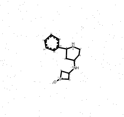 [O-][S+]1CC(NC2CCNC(c3ccccc3)C2)C1